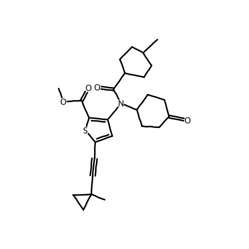 COC(=O)c1sc(C#CC2(C)CC2)cc1N(C(=O)C1CCC(C)CC1)C1CCC(=O)CC1